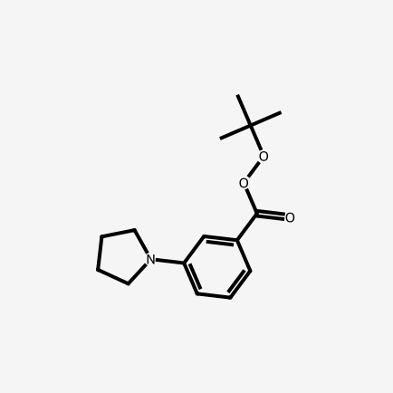 CC(C)(C)OOC(=O)c1cccc(N2CCCC2)c1